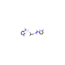 C=C(CON=C(C)c1cccc(C)n1)CON=C(C)c1cccc(C)n1